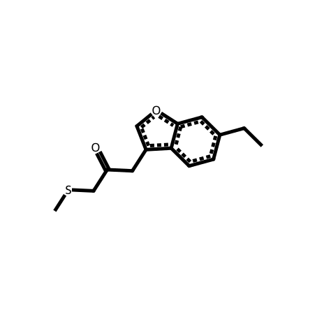 CCc1ccc2c(CC(=O)CSC)coc2c1